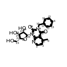 Cc1ccnc2c1c(=O)n(Cc1ccccc1)c(=O)n2[C@@H]1O[C@H](CO)[C@@H](O)[C@H]1O